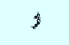 O=C1CCN(C(=O)C/C2=C/Cc3cc(-c4ccc(-c5ncc[nH]5)cc4)ccc3OCC2)[C@H](c2ccc(F)cc2)C1